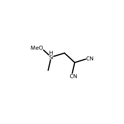 CO[SiH](C)CC(C#N)C#N